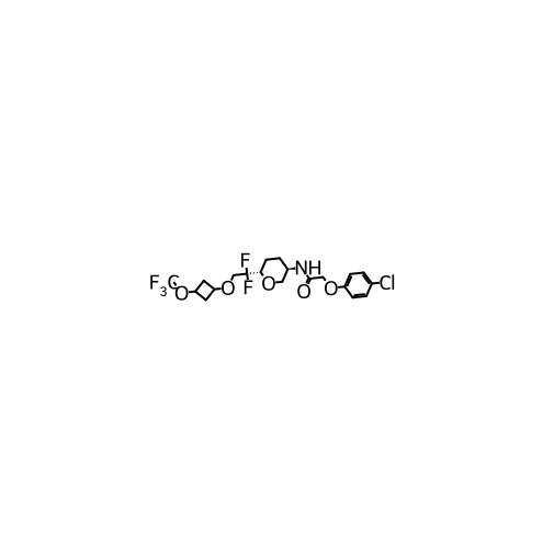 O=C(COc1ccc(Cl)cc1)N[C@@H]1CC[C@@H](C(F)(F)COC2CC(OC(F)(F)F)C2)OC1